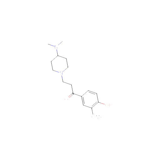 COc1cc(C(=O)CCN2CCC(N(C)C)CC2)ccc1O